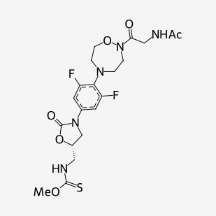 COC(=S)NC[C@H]1CN(c2cc(F)c(N3CCON(C(=O)CNC(C)=O)CC3)c(F)c2)C(=O)O1